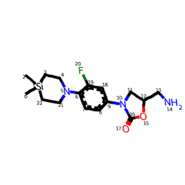 C[Si]1(C)CCN(c2ccc(N3CC(CN)OC3=O)cc2F)CC1